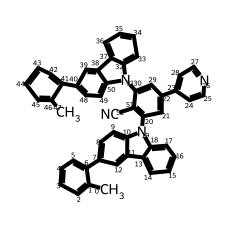 Cc1ccccc1-c1ccc2c(c1)c1ccccc1n2-c1cc(-c2ccncc2)cc(-n2c3ccccc3c3cc(-c4ccccc4C)ccc32)c1C#N